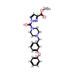 CC(C)(C)OC(=O)c1ccn(C(=O)N2CCN(Cc3cccc(Oc4ccccc4)c3)CC2)n1